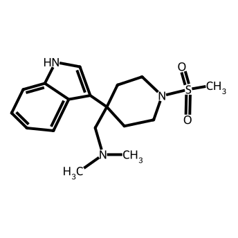 CN(C)CC1(c2c[nH]c3ccccc23)CCN(S(C)(=O)=O)CC1